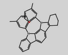 Cc1cccc(-n2c3c(c4ccc5c6ccccc6n(-c6cccc(C)c6)c5c42)CCCC3)c1